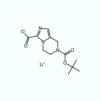 CC(C)(C)OC(=O)N1CCn2c(cnc2C(=O)[O-])C1.[Li+]